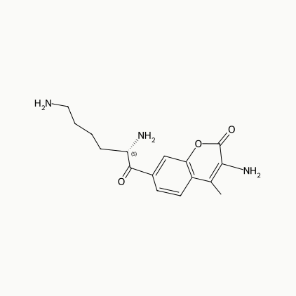 Cc1c(N)c(=O)oc2cc(C(=O)[C@@H](N)CCCCN)ccc12